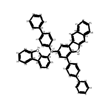 c1ccc(-c2ccc(-c3cc(N(c4ccc(-c5ccccc5)cc4)c4cccc5c4oc4ccccc45)cc4c3oc3cc5ccccc5cc34)cc2)cc1